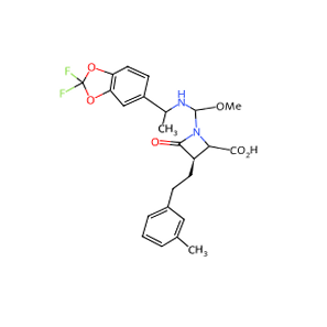 COC(NC(C)c1ccc2c(c1)OC(F)(F)O2)N1C(=O)[C@H](CCc2cccc(C)c2)C1C(=O)O